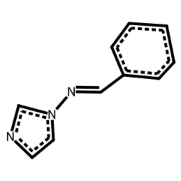 C(=Nn1ccnc1)c1ccccc1